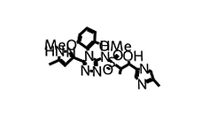 COc1cccc(OC)c1-n1c(NS(=O)(=O)C(C)C(O)c2cnc(C)cn2)nnc1-c1cc(C)[nH]n1